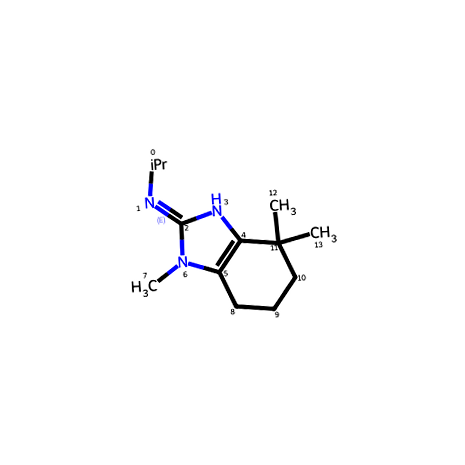 CC(C)/N=c1\[nH]c2c(n1C)CCCC2(C)C